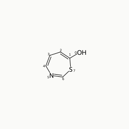 OC1=CC=CN=CS1